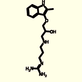 Cc1[nH]c2ccccc2c1OCC(O)CNCCCN=C(N)N